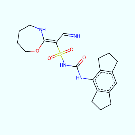 N=C/C(=C1\NCCCCO1)S(=O)(=O)NC(=O)Nc1c2c(cc3c1CCC3)CCC2